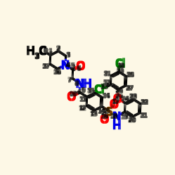 CC1CCN(C(=O)CNC(=O)c2ccc(S(=O)(=O)Nc3ccccc3Oc3ccc(Cl)cc3Cl)cc2)CC1